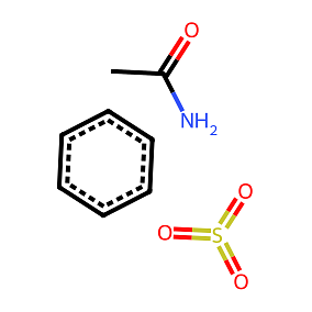 CC(N)=O.O=S(=O)=O.c1ccccc1